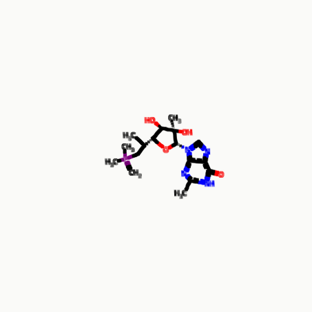 C=P(C)(C)CC(C)[C@H]1O[C@@H](n2cnc3c(=O)[nH]c(C)nc32)[C@](C)(O)[C@@H]1O